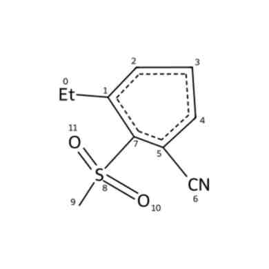 CCc1cccc(C#N)c1S(C)(=O)=O